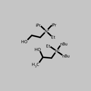 CCCC[N+](CC)(CCCC)CC(C)O.CC[N+](CCO)(C(C)C)C(C)C